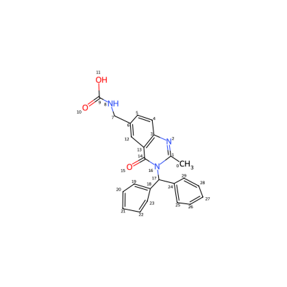 Cc1nc2ccc(CNC(=O)O)cc2c(=O)n1C(c1ccccc1)c1ccccc1